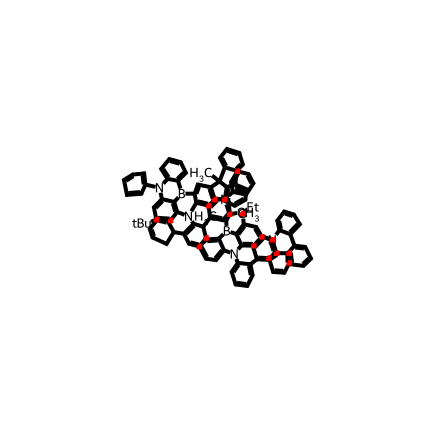 CCOc1cc(N(c2ccccc2)c2ccccc2-c2ccccc2)cc2c1B([C@H](C)C(C)N(c1ccccc1)c1cc3c(cc1C1(C)c4ccccc4-c4ccccc41)B1c4ccccc4N(c4ccccc4)c4cc(C(C)(C)C)cc(c41)N3C1=C(C3C=CC=CC3)C=CCC1C1=CCCC=C1)c1ccccc1N2c1ccccc1-c1ccccc1